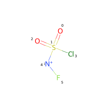 O=S(=O)(Cl)[N+]F